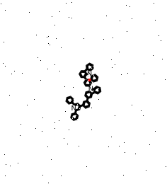 c1ccc(-c2cc(-c3cccc(-c4ccc5c(c4)c4ccccc4n5-c4ccc(-c5cccc6c7ccccc7n(-c7ccccc7)c56)cc4)c3)cc(-c3ccccc3)n2)cc1